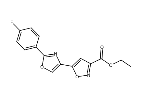 CCOC(=O)c1cc(-c2coc(-c3ccc(F)cc3)n2)on1